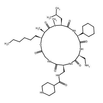 CCCCCC[C@@H]1OC(=O)CNC(=O)[C@H](CNC(=O)C2CCNCC2)NC(=O)[C@H](CN)NC(=O)[C@H](C2CCCCC2)NC(=O)[C@H](CC(C)C)N(C)C(=O)[C@@H]1C